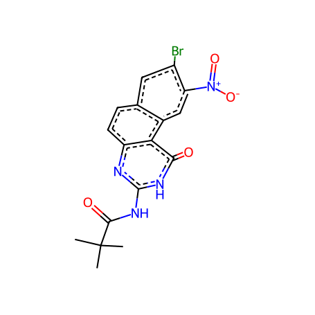 CC(C)(C)C(=O)Nc1nc2ccc3cc(Br)c([N+](=O)[O-])cc3c2c(=O)[nH]1